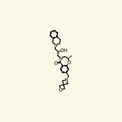 C[C@@H]1CN(C[C@H](O)CN2CCc3ccccc3C2)C(=O)c2ccc(CN3CC4(COC4)C3)cc2O1